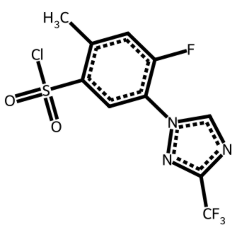 Cc1cc(F)c(-n2cnc(C(F)(F)F)n2)cc1S(=O)(=O)Cl